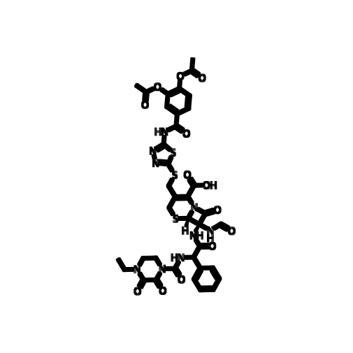 CCN1CCN(C(=O)NC(C(=O)N[C@]2(NC=O)C(=O)N3C(C(=O)O)=C(CSc4nnc(NC(=O)c5ccc(OC(C)=O)c(OC(C)=O)c5)s4)CS[C@H]32)c2ccccc2)C(=O)C1=O